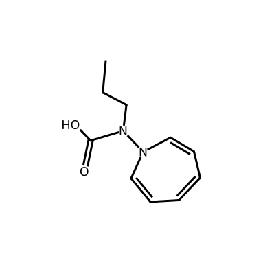 CCCN(C(=O)O)N1C=CC=CC=C1